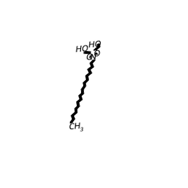 CCCCCCCCCCCCCCCCCCCCCN(OCCO)OCCO